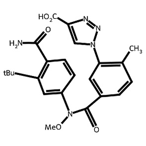 CON(C(=O)c1ccc(C)c(-n2cc(C(=O)O)nn2)c1)c1ccc(C(N)=O)c(C(C)(C)C)c1